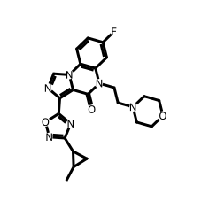 CC1CC1c1noc(-c2ncn3c2c(=O)n(CCN2CCOCC2)c2cc(F)ccc23)n1